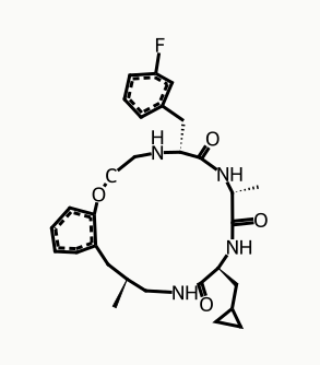 C[C@@H]1CNC(=O)[C@H](CC2CC2)NC(=O)[C@@H](C)NC(=O)[C@@H](Cc2cccc(F)c2)NCCOc2ccccc2C1